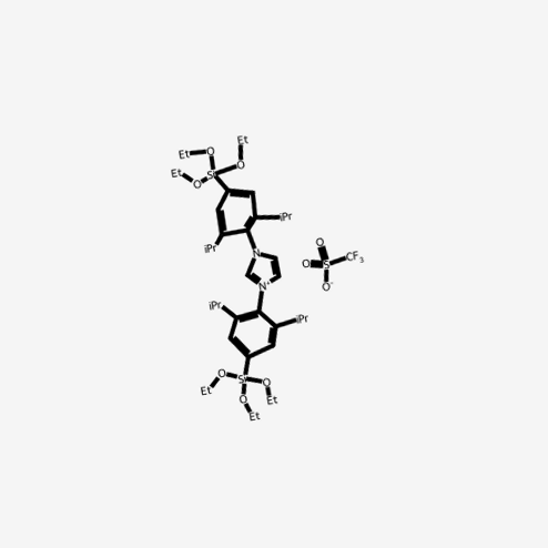 CCO[Si](OCC)(OCC)c1cc(C(C)C)c(-n2cc[n+](-c3c(C(C)C)cc([Si](OCC)(OCC)OCC)cc3C(C)C)c2)c(C(C)C)c1.O=S(=O)([O-])C(F)(F)F